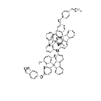 C=Cc1ccc(Oc2ccc(C3(c4c(F)ccc(F)c4F)c4ccccc4-c4ccc(N(c5ccc6c(c5)C(c5ccc(Oc7ccc(C=C)cc7)cc5)(c5c(F)ccc(F)c5F)c5ccccc5-6)c5cccc6c5C(C)(C)c5ccccc5-6)cc43)cc2)cc1